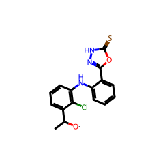 CC([O])c1cccc(Nc2ccccc2-c2n[nH]c(=S)o2)c1Cl